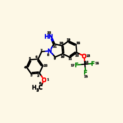 COc1cccc(CN2Cc3cc(OC(F)(F)F)ccc3C2=N)c1